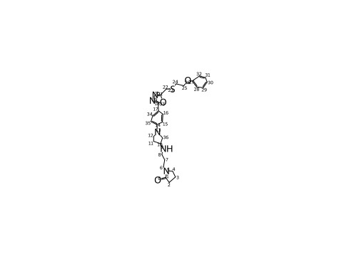 O=C1CCCN1CCCNC1CCN(c2ccc(-c3nnc(CSCCOc4ccccc4)o3)cc2)C1